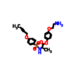 CC#CCOc1ccc(S(=O)(=O)N[C@H](C)C(=O)Oc2ccc(OCCN)cc2)cc1